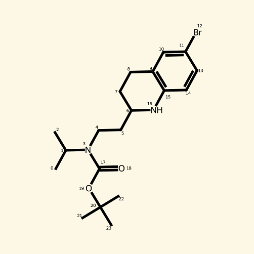 CC(C)N(CCC1CCc2cc(Br)ccc2N1)C(=O)OC(C)(C)C